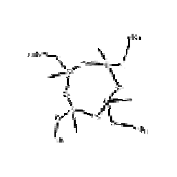 CCCCO[Si]1(C)O[Si](C)(OCCCC)O[Si](C)(OCCCC)O[Si](C)(OCCCC)O1